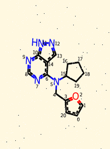 c1coc(CN(c2ncnc3[nH]ncc23)C2CCCC2)c1